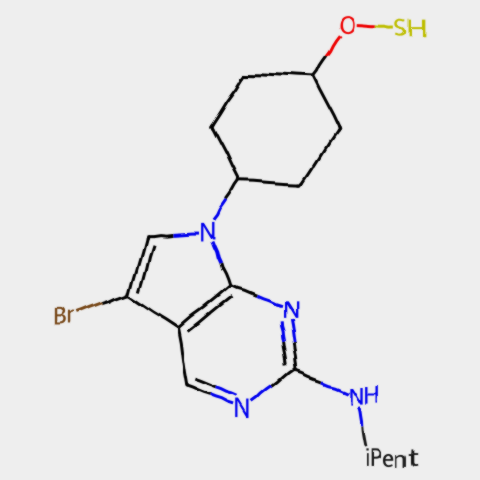 CCCC(C)Nc1ncc2c(Br)cn(C3CCC(OS)CC3)c2n1